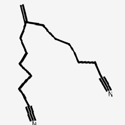 C=C(CCCCCC#N)CCCCCC#N